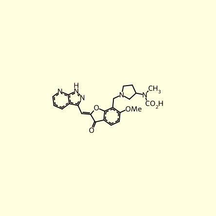 COc1ccc2c(c1CN1CCC(N(C)C(=O)O)C1)OC(=Cc1n[nH]c3ncccc13)C2=O